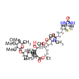 CC[C@H]1CCC[C@H](O[C@H]2CC[C@H](N(C)C(=O)CCCCC3SC[C@@H]4NC(=O)N[C@H]34)C(C)O2)[C@@H](C)[C@H](O)C2=C[C@@H]3[C@@H](C=C[C@@H]4C[C@@H](O[C@@H]5OC(C)[C@H](OC)[C@@H](OC)C5OC)C[C@@H]34)[C@@H]2CC(=O)O1